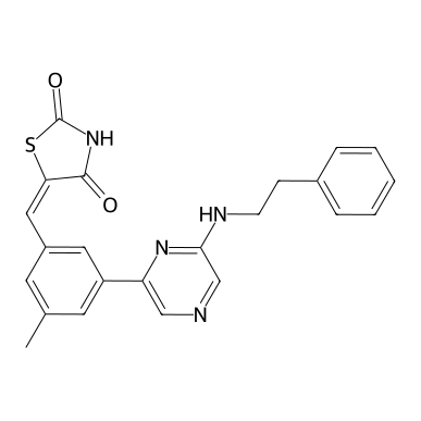 Cc1cc(C=C2SC(=O)NC2=O)cc(-c2cncc(NCCc3ccccc3)n2)c1